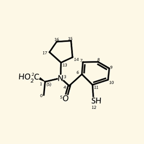 C[C@@H](C(=O)O)N(C(=O)c1ccccc1S)C1CCCC1